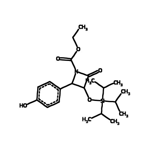 CCOC(=O)N1C(=O)C(O[Si](C(C)C)(C(C)C)C(C)C)C1c1ccc(O)cc1